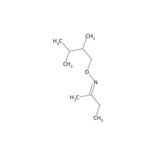 CC/C(C)=N/OCC(C)C(C)C